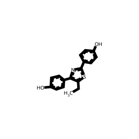 CCc1sc(-c2ccc(O)cc2)nc1-c1ccc(O)cc1